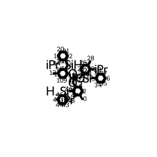 Cc1ccc(OP(Oc2ccc(C)c(C(C)C)c2[SiH2]c2ccccc2)Oc2ccc(C)c(C(C)C)c2[SiH2]c2ccccc2)c([SiH2]c2ccccc2)c1C(C)C